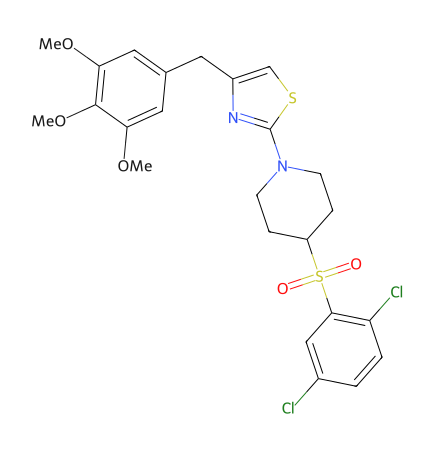 COc1cc(Cc2csc(N3CCC(S(=O)(=O)c4cc(Cl)ccc4Cl)CC3)n2)cc(OC)c1OC